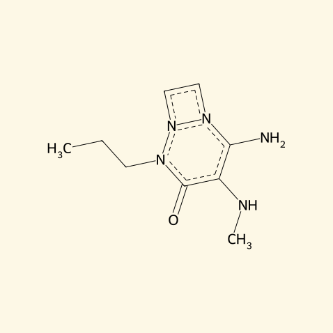 CCCn1c(=O)c(NC)c(N)n2ccn12